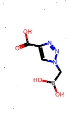 O=C(O)c1cn(CB(O)O)nn1